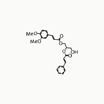 COc1ccc(C=CC(=O)OCC(CO)OC(=O)/C=C/c2ccccc2)cc1OC